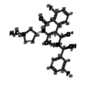 Cc1c(C(=O)N[C@@H](O)c2cccc(F)c2)c2cccc(F)c2c(=O)n1[C@@H]1CCN(C)C1